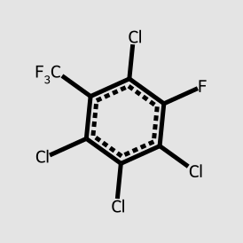 Fc1c(Cl)c(Cl)c(Cl)c(C(F)(F)F)c1Cl